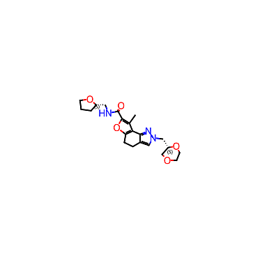 Cc1c(C(=O)NC[C@@H]2CCCO2)oc2c1-c1nn(C[C@H]3COCCO3)cc1CC2